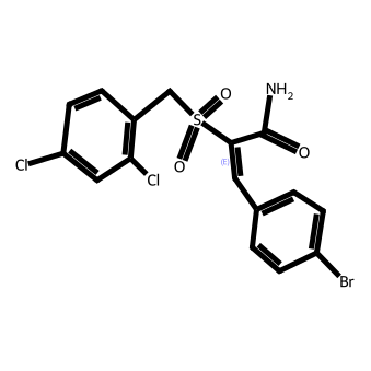 NC(=O)/C(=C\c1ccc(Br)cc1)S(=O)(=O)Cc1ccc(Cl)cc1Cl